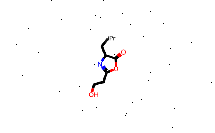 CC(C)CC1N=C(CCO)OC1=O